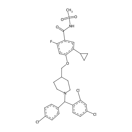 CS(=O)(=O)NC(=O)c1cc(C2CC2)c(OCC2CCN(C(c3ccc(Cl)cc3)c3ccc(Cl)cc3Cl)CC2)cc1F